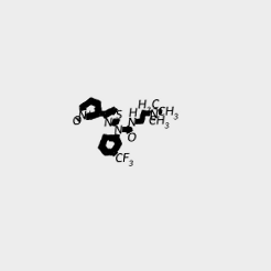 C[N+](C)(C)CCNC(=O)N(c1cccc(C(F)(F)F)c1)c1nc(-c2ccc[n+]([O-])c2)cs1